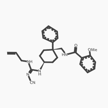 C=CCN/C(=N/C#N)N[C@H]1CC[C@](CNC(=O)c2ccccc2OC)(c2ccccc2)CC1